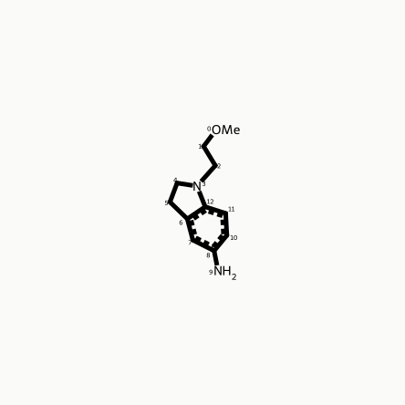 COCCN1CCc2cc(N)ccc21